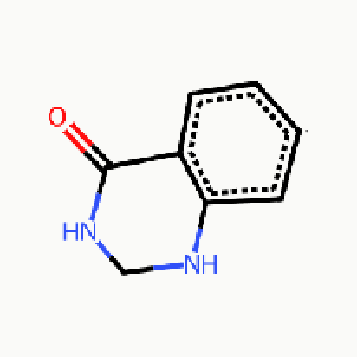 O=C1NCNc2c[c]ccc21